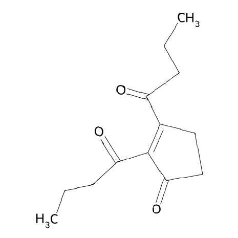 CCCC(=O)C1=C(C(=O)CCC)C(=O)CC1